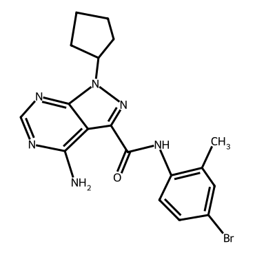 Cc1cc(Br)ccc1NC(=O)c1nn(C2CCCC2)c2ncnc(N)c12